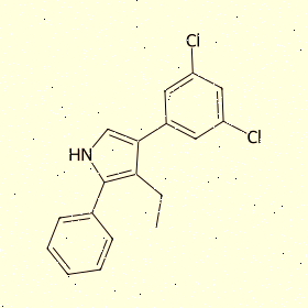 CCc1c(-c2cc(Cl)cc(Cl)c2)c[nH]c1-c1ccccc1